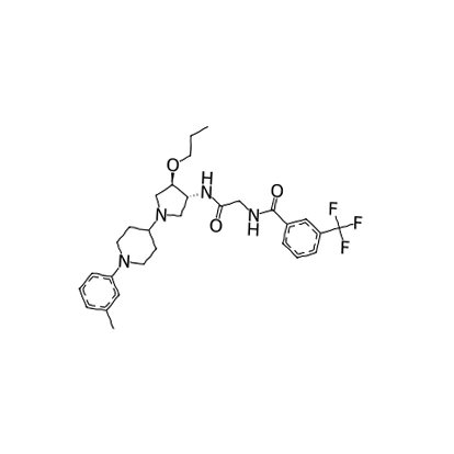 CCCO[C@@H]1CN(C2CCN(c3cccc(C)c3)CC2)C[C@H]1NC(=O)CNC(=O)c1cccc(C(F)(F)F)c1